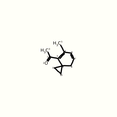 CC(=O)C1=C(C)C=CCC12CC2